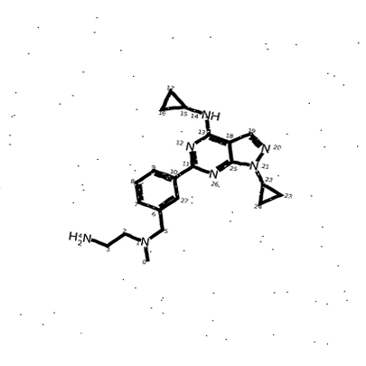 CN(CCN)Cc1cccc(-c2nc(NC3CC3)c3cnn(C4CC4)c3n2)c1